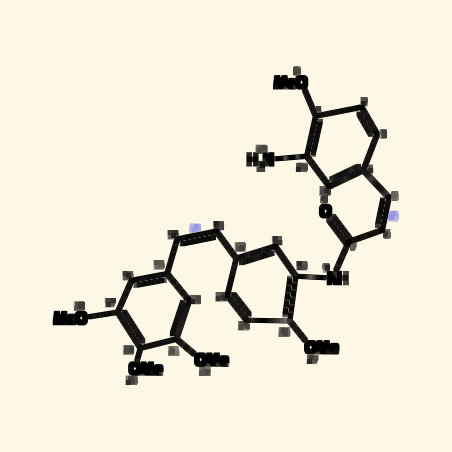 COc1ccc(/C=C\C(=O)Nc2cc(/C=C\c3cc(OC)c(OC)c(OC)c3)ccc2OC)cc1N